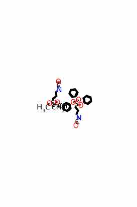 CO[Si](C)(CCCN=C=O)OC.O=C=NCCC[Si](Oc1ccccc1)(Oc1ccccc1)Oc1ccccc1